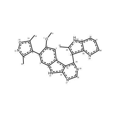 COc1cc2c(cc1-c1c(C)noc1C)[nH]c1ncnc(-c3c(C)[nH]c4cccnc34)c12